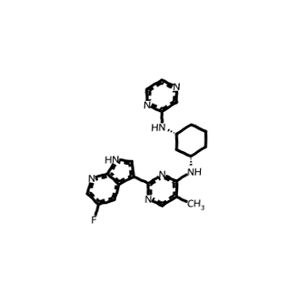 Cc1cnc(-c2c[nH]c3ncc(F)cc23)nc1N[C@H]1CCC[C@@H](Nc2cnccn2)C1